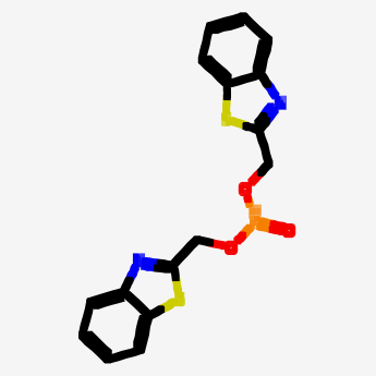 O=[PH](OCc1nc2ccccc2s1)OCc1nc2ccccc2s1